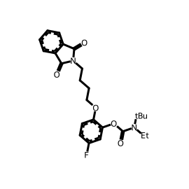 CCN(C(=O)Oc1cc(F)ccc1OCCCCN1C(=O)c2ccccc2C1=O)C(C)(C)C